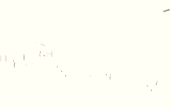 C#CCOCCOCCOCCOCCN(CCOCCCNC(=O)CC)CCOCCCNC(=O)CO[C@H](CCO)[C@@H]1OC(C(=O)O)=CC[C@H]1NC(C)=O